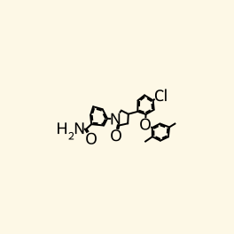 Cc1ccc(C)c(Oc2cc(Cl)ccc2C2CC(=O)N(c3cccc(C(N)=O)c3)C2)c1